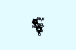 O=C(O)n1ccc(Nc2nc(Cl)ncc2[N+](=O)[O-])c1